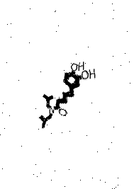 CC(C)CN(CC(C)C)C(=O)/C=C/C=C/c1ccc(O)c(O)c1